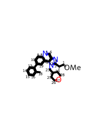 COCCc1nc2cnc3ccc(-c4ccccc4C)cc3c2n1CC1CCOCC1